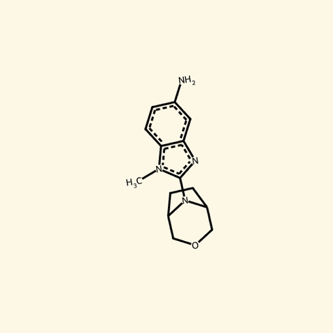 Cn1c(N2C3CCC2COC3)nc2cc(N)ccc21